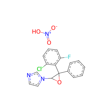 Fc1cccc(Cl)c1C1(c2ccccc2)OC1n1ccnc1.O=[N+]([O-])O